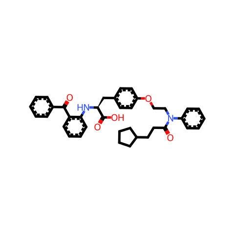 O=C(c1ccccc1)c1ccccc1N[C@@H](Cc1ccc(OCCN(C(=O)CCC2CCCC2)c2ccccc2)cc1)C(=O)O